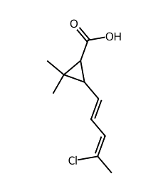 CC(Cl)=CC=CC1C(C(=O)O)C1(C)C